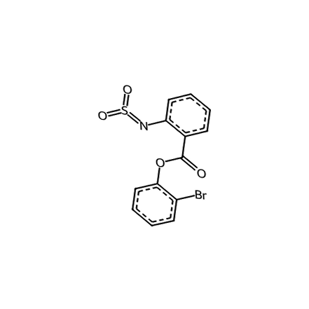 O=C(Oc1ccccc1Br)c1ccccc1N=S(=O)=O